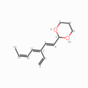 C=CC(/C=C/C1OCCCO1)=C\C=C/C